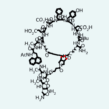 CC(=O)N[C@@H](Cc1cccc2ccccc12)C(=O)N[C@H](C)C(=O)N[C@H]1CSCC(=O)N2CC34CN(C(=O)CCSC[C@H](NC(=O)[C@H](C)N)C(=O)N[C@H](C)C(=O)N[C@@H](CC(N)=O)C(N)=O)CC3(CN(C4)C(=O)CSCC(C(N)=O)NC(=O)[C@H](C(C)(C)C)NC(=O)C(CC(=O)O)NC(=O)[C@H](Cc3ccc(O)cc3)NC(=O)[C@H](Cc3ccccc3)NC(=O)[C@H](CC(=O)O)NC(=O)[C@H](CCC(=O)O)NC1=O)C2